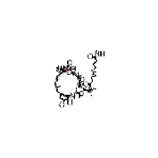 CNC(=O)CCCSSCCC(=O)N(C)[C@H](C)C(=O)O[C@@H]1CC(=O)N(C)c2cc(cc(OC)c2Cl)C/C(C)=C/C=C/[C@H](OC)[C@]2(O)C[C@@H](OC(=O)N2)[C@H](C)[C@H]2O[C@@]21C